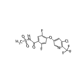 CS(=O)(=O)NC(=O)c1cc(F)c(Oc2cnc(C(F)(F)F)c(Cl)c2)cc1F